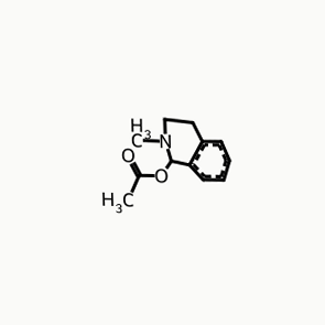 CC(=O)OC1c2ccccc2CCN1C